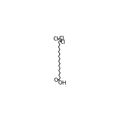 O=C(O)CCCCCCCCCCCCCCCC[Si](Cl)(Cl)Cl